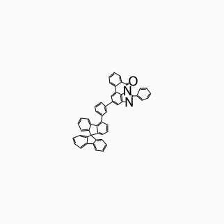 O=c1c2ccccc2c2cc(-c3cccc(-c4cccc5c4-c4ccccc4C54c5ccccc5-c5ccccc54)c3)cc3nc(-c4ccccc4)n1c32